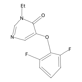 CCn1cncc(Oc2c(F)cccc2F)c1=O